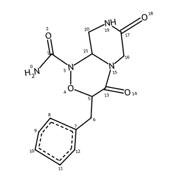 NC(=O)N1OC(Cc2ccccc2)C(=O)N2CC(=O)NCC21